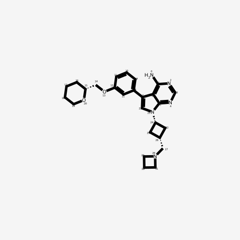 Nc1ncnc2c1c(-c1cccc(OC[C@H]3CCCCO3)c1)cn2[C@H]1C[C@@H](CN2CCC2)C1